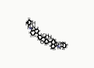 CC1(C)c2cc(-c3ccc4c5c(cccc35)/C(=N/c3ccccn3)N4)ccc2Oc2ccc(-c3ccc4c5c(cccc35)/C(=N/c3ccccn3)N4)cc21